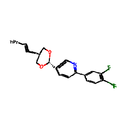 CCCC=C[C@H]1CO[C@H](c2ccc(-c3ccc(F)c(F)c3)nc2)OC1